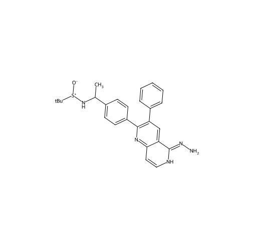 CC(N[S+]([O-])C(C)(C)C)c1ccc(-c2nc3cc[nH]/c(=N\N)c3cc2-c2ccccc2)cc1